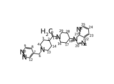 C=C(C1CCN(Cc2ccnnc2)CC1)N1CCC(n2cnc3cccnc32)CC1